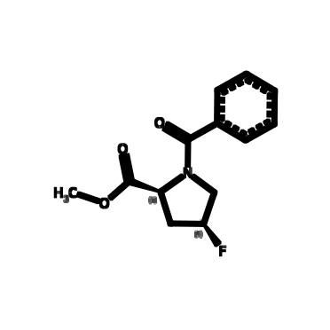 COC(=O)[C@@H]1C[C@H](F)CN1C(=O)c1ccccc1